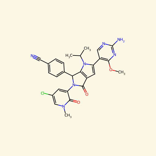 COc1nc(N)ncc1-c1cc2c(n1C(C)C)C(c1ccc(C#N)cc1)N(c1cc(Cl)cn(C)c1=O)C2=O